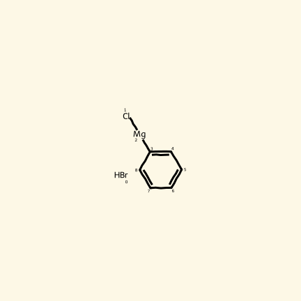 Br.[Cl][Mg][c]1ccccc1